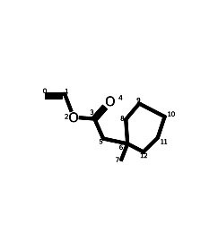 C=COC(=O)CC1(C)CCCCC1